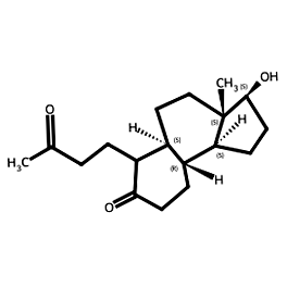 CC(=O)CCC1C(=O)CC[C@@H]2[C@@H]1CC[C@]1(C)[C@@H](O)CC[C@@H]21